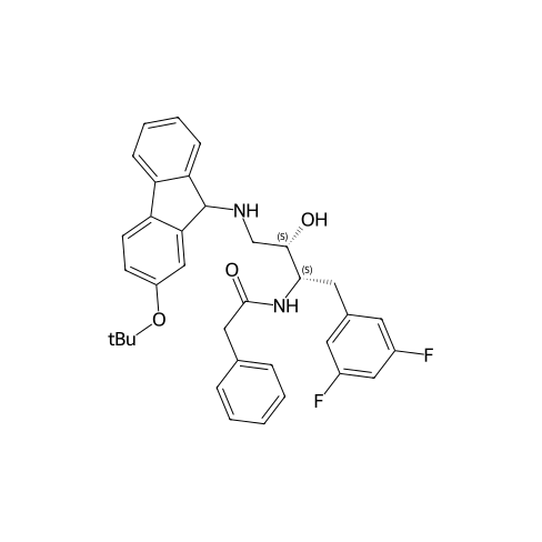 CC(C)(C)Oc1ccc2c(c1)C(NC[C@H](O)[C@H](Cc1cc(F)cc(F)c1)NC(=O)Cc1ccccc1)c1ccccc1-2